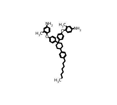 CCCCCCCCc1ccc(C2CCC(c3ccc(Oc4ccc(N)cc4C)cc3)(c3ccc(Oc4ccc(N)cc4C)cc3)CC2)cc1